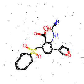 N#CCNc1c(-c2ccoc2)ccc(CS(=O)(=O)c2ccccc2)c1C(=O)O